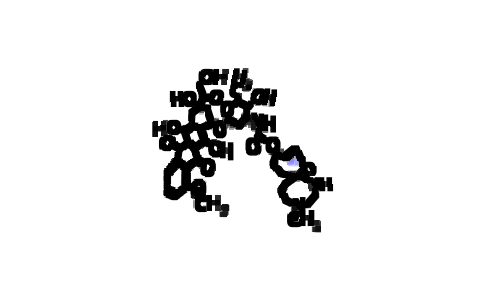 COc1cccc2c1C(=O)c1c(O)c3c(c(O)c1C2=O)C[C@@](O)(C(=O)CO)C[C@@H]3O[C@H]1C[C@@H](NC(=O)O[C@@H]2/C=C/CC[C@@]3(CCCN(C)CCNC3=O)CC2)C(O)C(C)O1